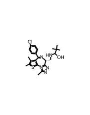 Cc1sc2c(c1C)C(c1ccc(Cl)cc1)=N[C@H](CNC(O)C(C)(C)C)c1nnc(C)n1-2